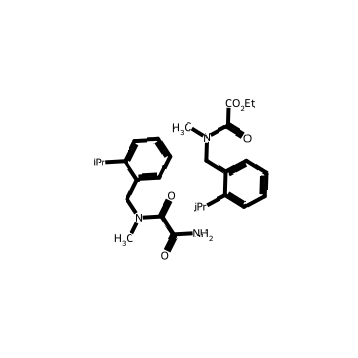 CC(C)c1ccccc1CN(C)C(=O)C(N)=O.CCOC(=O)C(=O)N(C)Cc1ccccc1C(C)C